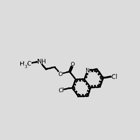 CNCCOC(=O)c1c(Cl)ccc2cc(Cl)cnc12